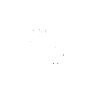 CC1(C)NC(=O)CC1Cc1ccccc1